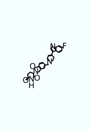 Cn1cc(C2=CCN(Cc3ccc4c(c3)CN(C3CCC(=O)NC3=O)C4=O)CC2)c2ccc(F)cc21